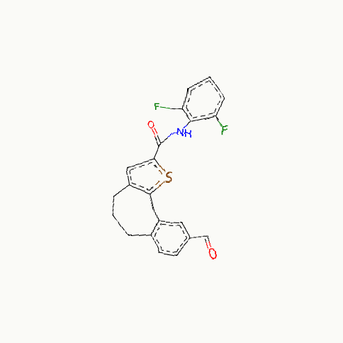 O=Cc1ccc2c(c1)-c1sc(C(=O)Nc3c(F)cccc3F)cc1CCC2